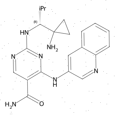 CC(C)[C@@H](Nc1ncc(C(N)=O)c(Nc2cnc3ccccc3c2)n1)C1(N)CC1